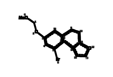 COCOc1cc(Br)c2c(ccc3occc32)c1